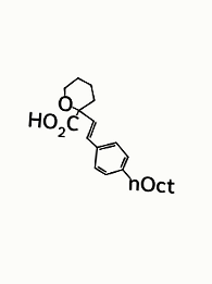 CCCCCCCCc1ccc(C=CC2(C(=O)O)CCCCO2)cc1